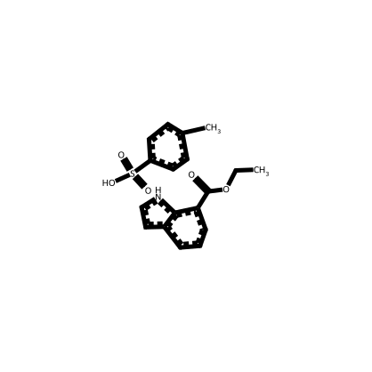 CCOC(=O)c1cccc2cc[nH]c12.Cc1ccc(S(=O)(=O)O)cc1